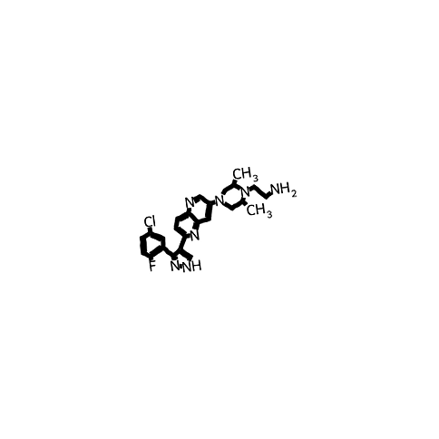 CC1CN(c2cnc3ccc(-c4c[nH]nc4-c4cc(Cl)ccc4F)nc3c2)CC(C)N1CCN